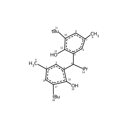 Cc1cc(C(c2cc(C)cc(C(C)(C)C)c2O)C(C)C)c(O)c(C(C)(C)C)c1